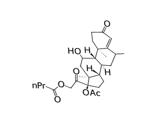 CCCC(=O)OCC(=O)[C@@]1(OC(C)=O)CC[C@H]2[C@@H]3CC(C)C4=CC(=O)CC[C@]4(C)[C@H]3C(O)C[C@@]21C